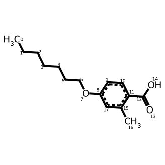 CCCCCCCOc1ccc(C(=O)O)c(C)c1